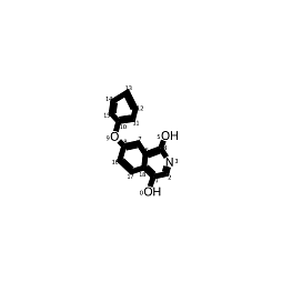 Oc1cnc(O)c2cc(Oc3ccccc3)ccc12